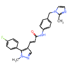 Cc1nccn1Cc1ccc(NC(=O)C=Cc2cnn(C)c2-c2ccc(F)cc2)cc1